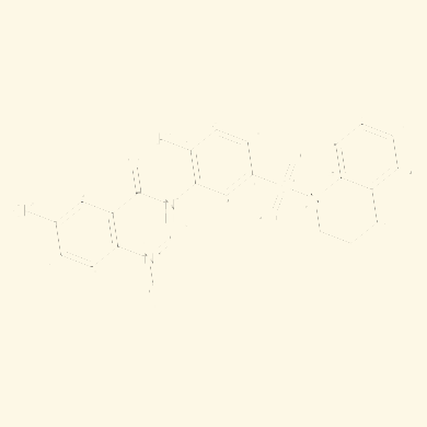 O=C(Nc1cc(S(=O)(=O)N2CCCc3ccccc32)ccc1Cl)c1cc(Cl)ccc1[N+](=O)[O-]